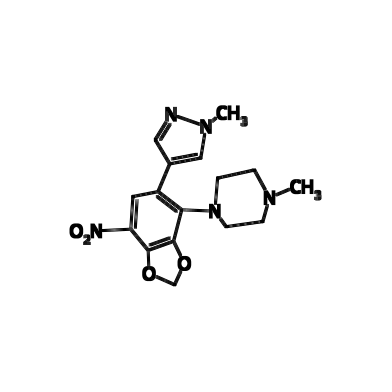 CN1CCN(c2c(-c3cnn(C)c3)cc([N+](=O)[O-])c3c2OCO3)CC1